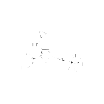 COC(=O)c1sc(C#CC(C)(C)C)cc1NC1CC1